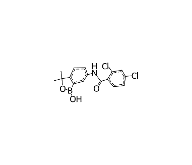 CC1(C)OB(O)c2cc(NC(=O)c3ccc(Cl)cc3Cl)ccc21